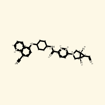 N#Cc1ccc(OC2CCC(NC(=O)c3ccc(N4C[C@@H]5C(C=O)[C@@H]5C4)nn3)CC2)c2cccnc12